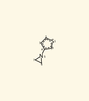 [c]1sccc1N1CC1